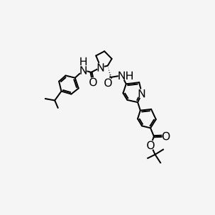 CC(C)c1ccc(NC(=O)N2CCC[C@@H]2C(=O)Nc2ccc(-c3ccc(C(=O)OC(C)(C)C)cc3)nc2)cc1